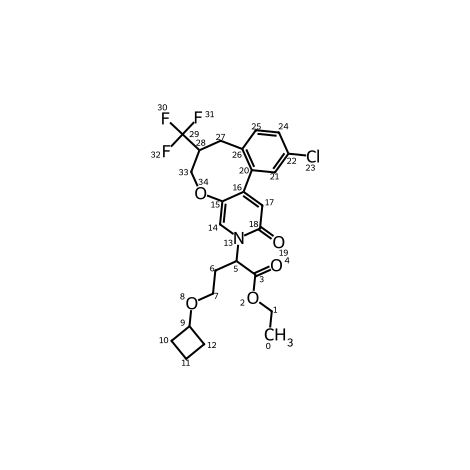 CCOC(=O)C(CCOC1CCC1)n1cc2c(cc1=O)-c1cc(Cl)ccc1CC(C(F)(F)F)CO2